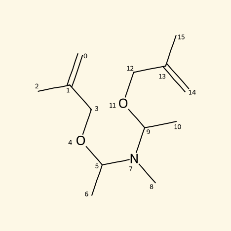 C=C(C)COC(C)N(C)C(C)OCC(=C)C